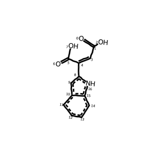 O=C(O)/C=C(\C(=O)O)c1cc2ccccc2[nH]1